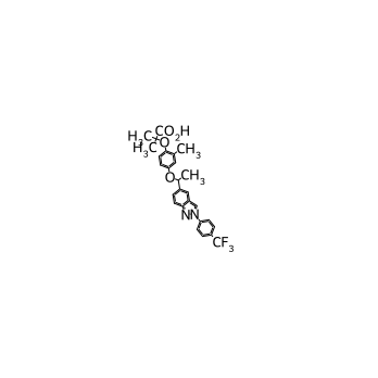 Cc1cc(OC(C)c2ccc3nn(-c4ccc(C(F)(F)F)cc4)cc3c2)ccc1OC(C)(C)C(=O)O